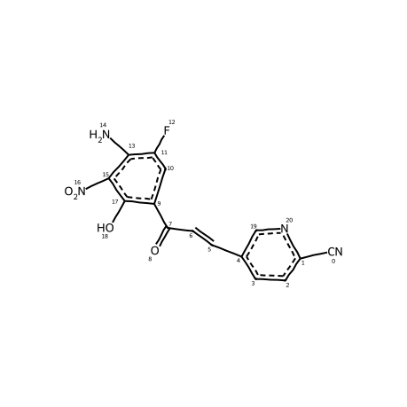 N#Cc1ccc(C=CC(=O)c2cc(F)c(N)c([N+](=O)[O-])c2O)cn1